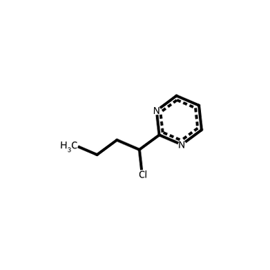 CCCC(Cl)c1ncccn1